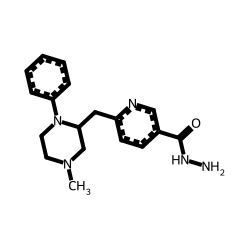 CN1CCN(c2ccccc2)C(Cc2ccc(C(=O)NN)cn2)C1